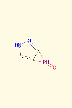 O=[PH]1c2c[nH]nc21